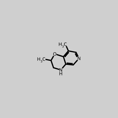 Cc1cncc2c1OC(C)CN2